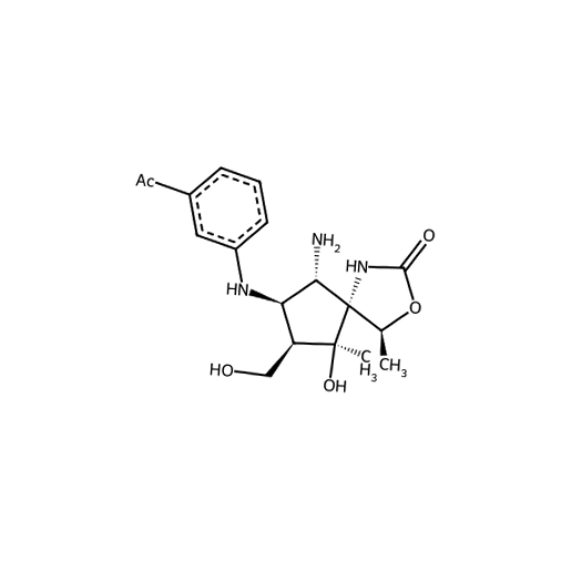 CC(=O)c1cccc(N[C@H]2[C@H](N)[C@]3(NC(=O)O[C@H]3C)[C@@](C)(O)[C@H]2CO)c1